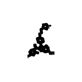 Cc1cc(F)ccc1C(=O)c1sc2cc(O)ccc2c1-c1ccc(OCCN2CC[C@H](C)C2)cc1